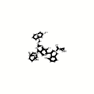 O=C([C@H]1CN1)N1C=C(c2ncc3c(N4C[C@H]5CC[C@@H](C4)N5)nc(OC[C@@]45CCCN4C[C@H](F)C5)nc3c2F)c2c(F)cccc2C1